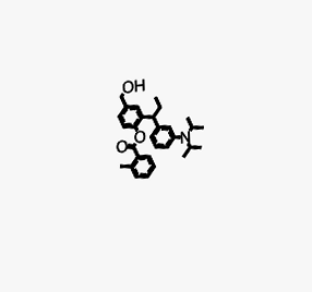 CCC(c1cccc(N(C(C)C)C(C)C)c1)c1cc(CO)ccc1OC(=O)c1ccccc1C